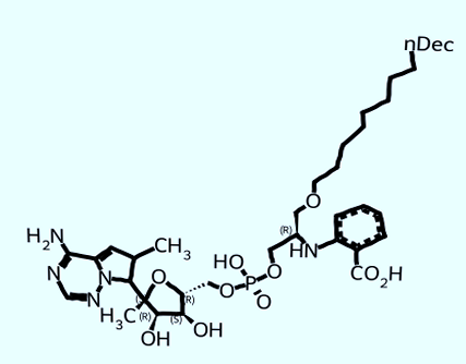 CCCCCCCCCCCCCCCCCCOC[C@H](COP(=O)(O)OC[C@H]1O[C@@](C)(C2C(C)C=C3C(N)=NC=NN32)[C@H](O)[C@@H]1O)Nc1ccccc1C(=O)O